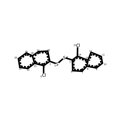 Clc1c(SSc2ccc3ccccc3c2Cl)ccc2ccccc12